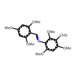 COc1cc(OC)c(C=Nc2c(OC)cc(OC)c(C=O)c2OC)c(OC)c1